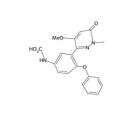 COc1cc(=O)n(C)nc1-c1cc(NC(=O)O)ccc1Oc1ccccc1